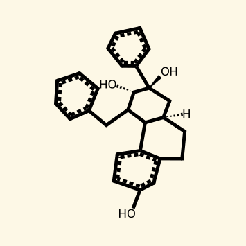 Oc1ccc2c(c1)CC[C@@H]1C[C@@](O)(c3ccccc3)[C@@H](O)C(Cc3ccccc3)C21